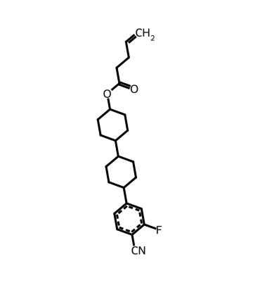 C=CCCC(=O)OC1CCC(C2CCC(c3ccc(C#N)c(F)c3)CC2)CC1